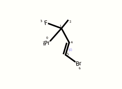 CC(C)C(C)(F)/C=C/Br